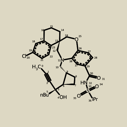 CC#C[C@](O)(CCCC)[C@@H]1CC[C@H]1CN1C[C@@]2(CCCc3cc(Cl)ccc32)COc2ccc(C(=O)NS(=O)(=O)C(C)C)cc21